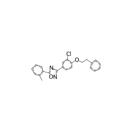 Cc1ccccc1-c1nc(-c2ccc(OCCc3ccccc3)c(Cl)c2)no1